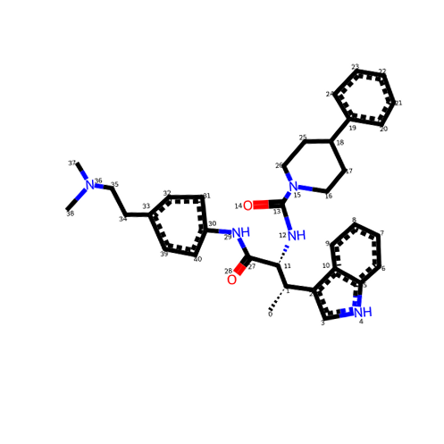 C[C@@H](c1c[nH]c2ccccc12)[C@@H](NC(=O)N1CCC(c2ccccc2)CC1)C(=O)Nc1ccc(CCN(C)C)cc1